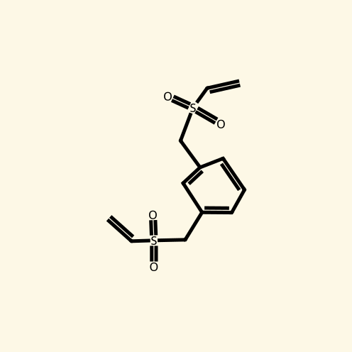 C=CS(=O)(=O)Cc1cccc(CS(=O)(=O)C=C)c1